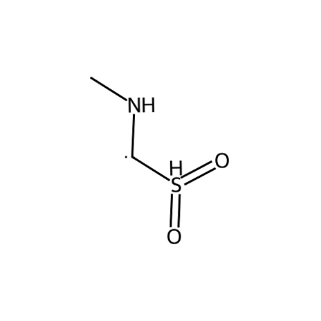 CN[CH][SH](=O)=O